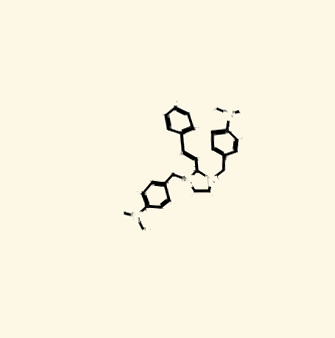 CN(C)c1ccc(CN2CCN(Cc3ccc(N(C)C)cc3)C2/C=C/c2ccccc2)cc1